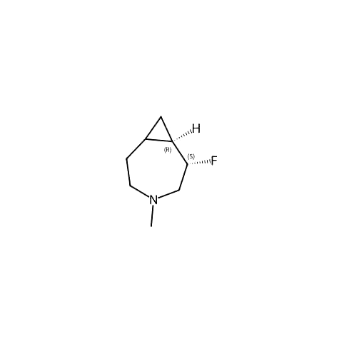 CN1CCC2C[C@H]2[C@H](F)C1